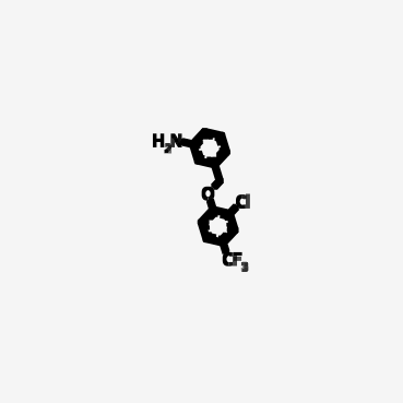 Nc1cccc(COc2ccc(C(F)(F)F)cc2Cl)c1